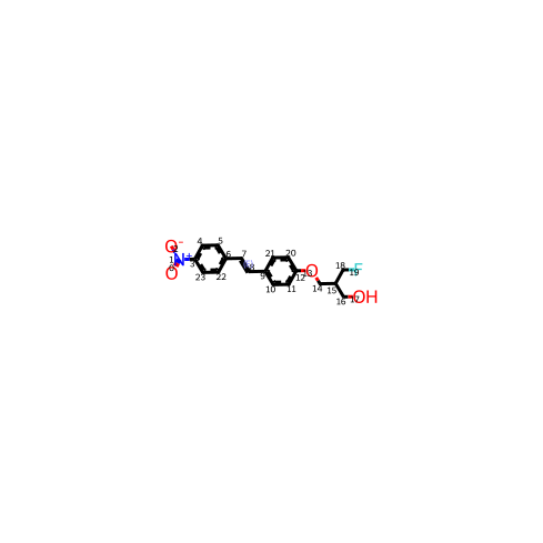 O=[N+]([O-])c1ccc(/C=C/c2ccc(OCC(CO)CF)cc2)cc1